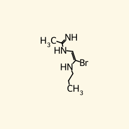 CCCN/C(Br)=C\NC(C)=N